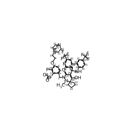 CN1N(Cc2ccc(OCC[N+]34CCN(CC3)CC4)c(F)c2F)C(=O)C(C(=O)Nc2ccc(C(F)(F)F)cc2-c2cc(C(F)(F)F)ncn2)=C(O)C12CCCC2.O=C[O-]